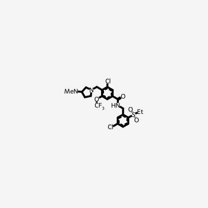 CCS(=O)(=O)c1ccc(Cl)cc1CNC(=O)c1cc(Cl)c(CN2CCC(NC)C2)c(OC(F)(F)F)c1